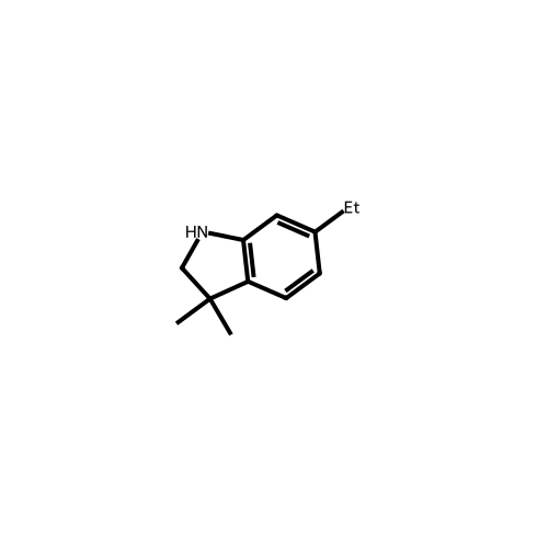 CCc1ccc2c(c1)NCC2(C)C